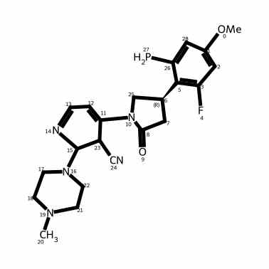 COc1cc(F)c([C@H]2CC(=O)N(C3=CC=NC(N4CCN(C)CC4)C3C#N)C2)c(P)c1